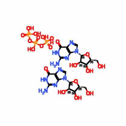 Nc1nc2c(ncn2[C@@H]2O[C@H](CO)[C@@H](O)[C@H]2O)c(=O)[nH]1.Nc1nc2c(ncn2[C@@H]2O[C@H](CO)[C@@H](O)[C@H]2O)c(=O)[nH]1.O=P(O)(O)OP(=O)(O)OP(=O)(O)O